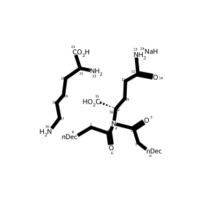 CCCCCCCCCCCC(=O)N(C(=O)CCCCCCCCCCC)[C@@H](CCC(N)=O)C(=O)O.NCCCCC(N)C(=O)O.[NaH]